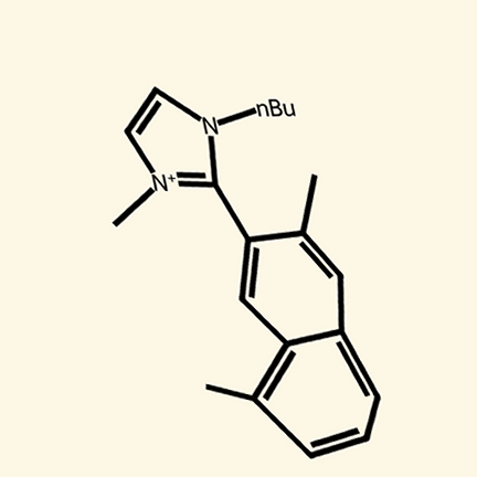 CCCCn1cc[n+](C)c1-c1cc2c(C)cccc2cc1C